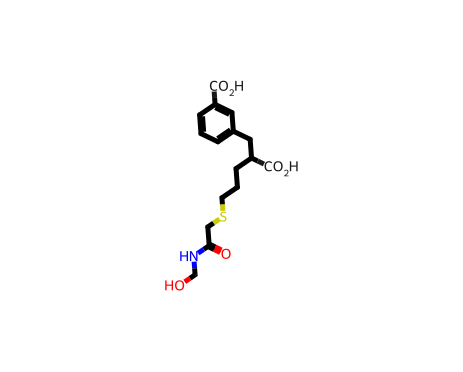 O=C(CSCCCC(Cc1cccc(C(=O)O)c1)C(=O)O)NCO